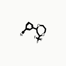 N#Cc1cccc(C2CC(C(F)(F)F)OCCCO2)c1